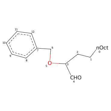 CCCCCCCCCCC(C=O)OCc1ccccc1